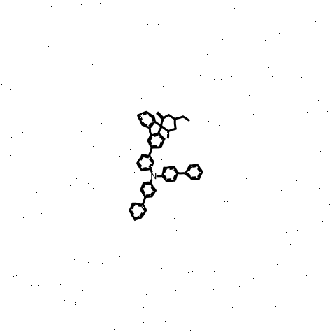 C=C1CC(CC)CC(C)C12c1ccccc1-c1cc(-c3cccc(N(c4ccc(-c5ccccc5)cc4)c4ccc(-c5ccccc5)cc4)c3)ccc12